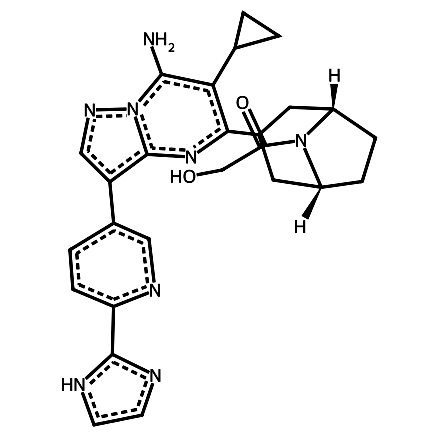 Nc1c(C2CC2)c(C2C[C@H]3CC[C@@H](C2)N3C(=O)CO)nc2c(-c3ccc(-c4ncc[nH]4)nc3)cnn12